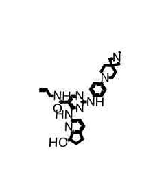 C=CCNC(=O)c1cnc(Nc2ccc(N3CCC4(CC3)CN(C)C4)cc2)nc1Nc1ccc2c(n1)C(O)CC2